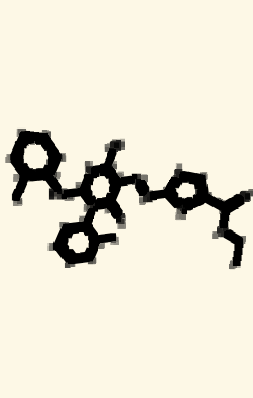 CCOC(=O)c1csc(N=Nc2c(O)nc(Nc3ccccc3C)n(-c3ccccc3C)c2=O)n1